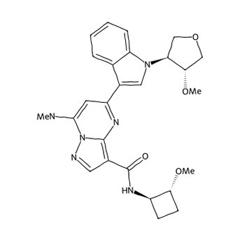 CNc1cc(-c2cn([C@H]3COC[C@@H]3OC)c3ccccc23)nc2c(C(=O)N[C@@H]3CC[C@H]3OC)cnn12